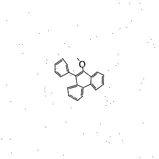 COc1c(-c2ccccc2)c2ccccc2c2ccccc12